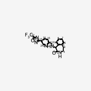 O=C1NCCc2ccccc2C1NCc1ccc(-c2noc(C(F)(F)F)n2)cn1